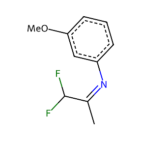 COc1cccc(N=C(C)C(F)F)c1